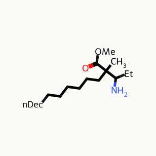 CCCCCCCCCCCCCCCCC(C)(C(=O)OC)C(N)CC